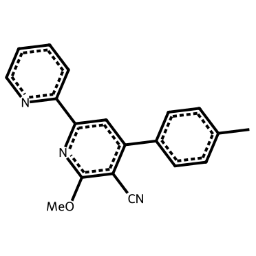 COc1nc(-c2ccccn2)cc(-c2ccc(C)cc2)c1C#N